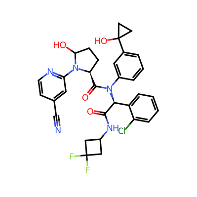 N#Cc1ccnc(N2C(O)CC[C@H]2C(=O)N(c2cccc(C3(O)CC3)c2)[C@H](C(=O)NC2CC(F)(F)C2)c2ccccc2Cl)c1